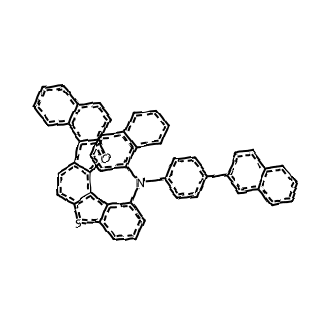 c1ccc2cc(-c3ccc(N(c4cccc5ccccc45)c4cccc5sc6ccc7c(oc8ccc9ccccc9c87)c6c45)cc3)ccc2c1